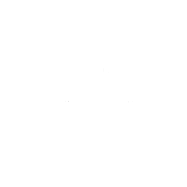 COc1csc(CO)c1OC